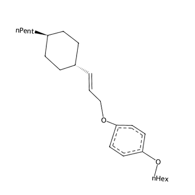 CCCCCCOc1ccc(OC/C=C/[C@H]2CC[C@H](CCCCC)CC2)cc1